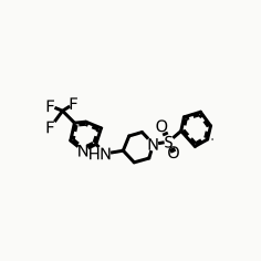 O=S(=O)(c1c[c]ccc1)N1CCC(Nc2ccc(C(F)(F)F)cn2)CC1